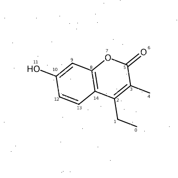 CCc1c(C)c(=O)oc2cc(O)ccc12